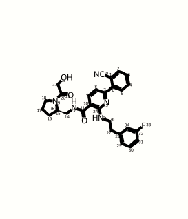 N#Cc1ccccc1-c1ccc(C(=O)NC[C@H]2CCCN2C(=O)CO)c(NCCc2cccc(F)c2)n1